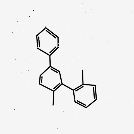 Cc1[c]cccc1-c1cc(-c2cc[c]cc2)ccc1C